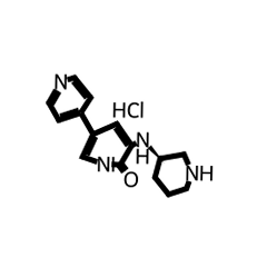 Cl.O=c1[nH]cc(-c2ccncc2)cc1N[C@@H]1CCCNC1